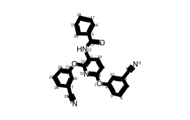 N#Cc1cccc(Oc2ccc(NC(=O)c3ccccc3)c(Oc3cccc(C#N)c3)n2)c1